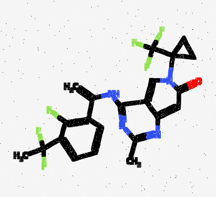 C=C(Nc1nc(C)nc2cc(=O)n(C3(C(F)(F)F)CC3)cc12)c1cccc(C(C)(F)F)c1F